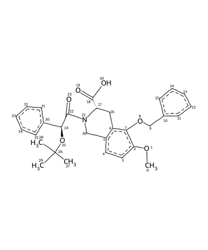 COc1ccc2c(c1OCc1ccccc1)C[C@@H](C(=O)O)N(C(=O)[C@@H](OC(C)(C)C)c1ccccc1)C2